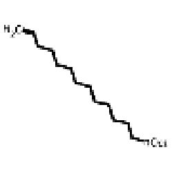 [CH2]CCCCCCCCCCCCCCCCCCC=C